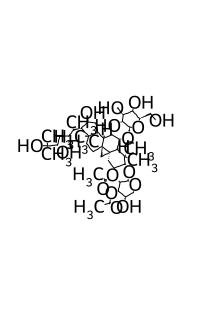 CC(=O)O[C@@H]1[C@@H](OC(C)=O)[C@H](O[C@H]2CC[C@]34C[C@]35CC[C@]3(C)[C@@H]([C@H](C)CC[C@H](O)C(C)(C)O)[C@@H](O)C[C@@]3(C)[C@@H]5C[C@H](O[C@@H]3O[C@H](CO)[C@@H](O)[C@H](O)[C@H]3O)[C@H]4C2(C)C)OC[C@H]1O